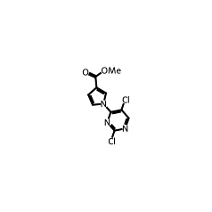 COC(=O)c1ccn(-c2nc(Cl)ncc2Cl)c1